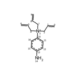 C=CC[N+](CC=C)(CC=C)c1ccc(N)cc1